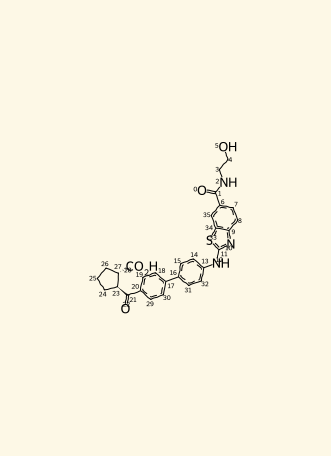 O=C(NCCO)c1ccc2nc(Nc3ccc(-c4ccc(C(=O)[C@H]5CCC[C@@H]5C(=O)O)cc4)cc3)sc2c1